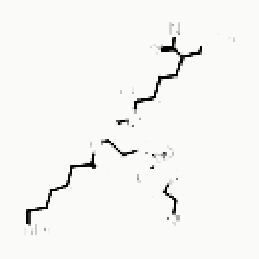 CCCCCCCCCCCCCCCC(=O)O[C@H](COC(=O)CCCC(CCCCCCCCCCC)C(N)=S)COP(=O)(O)OCCN